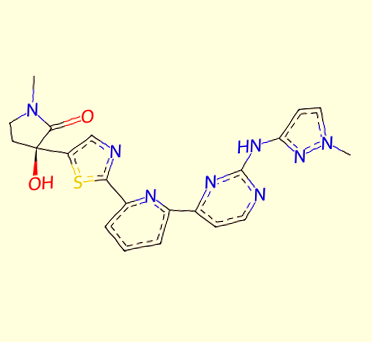 CN1CC[C@@](O)(c2cnc(-c3cccc(-c4ccnc(Nc5ccn(C)n5)n4)n3)s2)C1=O